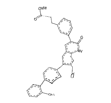 COC(=O)CCc1cccc(-c2cc3cc(-c4ccc(-c5ccccc5O)cc4)c(Cl)cc3[nH]c2=O)c1